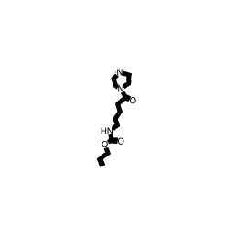 C=CCOC(=O)NCCCCC(=O)N1CC[N]CC1